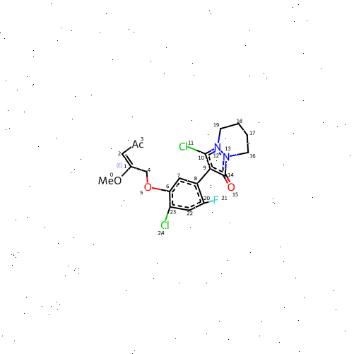 CO/C(=C/C(C)=O)COc1cc(-c2c(Cl)n3n(c2=O)CCCC3)c(F)cc1Cl